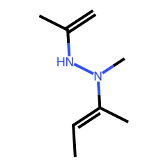 C=C(C)NN(C)/C(C)=C/C